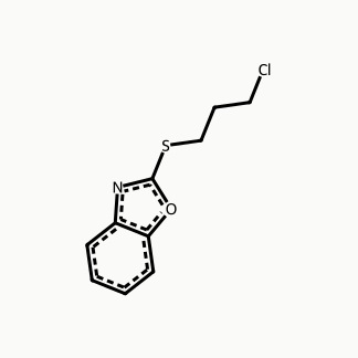 ClCCCSc1nc2ccccc2o1